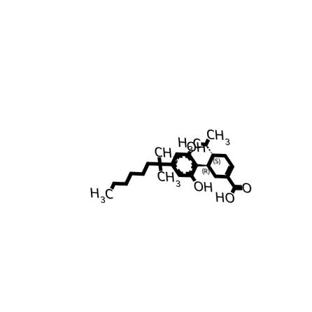 CCCCCCC(C)(C)c1cc(O)c([C@@H]2CC(C(=O)O)=CC[C@H]2C(C)C)c(O)c1